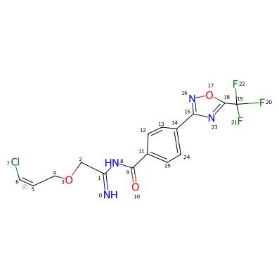 N=C(COC/C=C\Cl)NC(=O)c1ccc(-c2noc(C(F)(F)F)n2)cc1